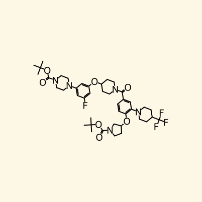 CC(C)(C)OC(=O)N1CCN(c2cc(F)cc(OC3CCN(C(=O)c4ccc(O[C@H]5CCN(C(=O)OC(C)(C)C)C5)c(N5CCC(C(F)(F)F)CC5)c4)CC3)c2)CC1